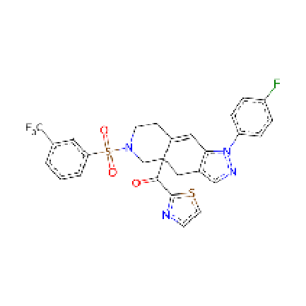 O=C(c1nccs1)C12Cc3cnn(-c4ccc(F)cc4)c3C=C1CCN(S(=O)(=O)c1cccc(C(F)(F)F)c1)C2